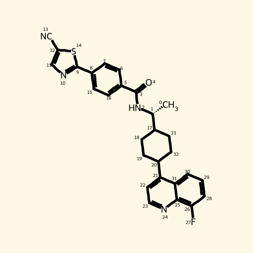 C[C@@H](NC(=O)c1ccc(-c2ncc(C#N)s2)cc1)C1CCC(c2ccnc3c(F)cccc23)CC1